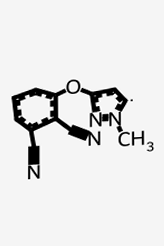 Cn1[c]cc(Oc2cccc(C#N)c2C#N)n1